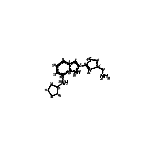 NC[C@@H]1CSC(c2cc3cccc(NC4CCCC4)c3[nH]2)=N1